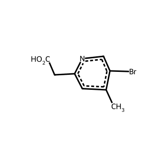 Cc1cc(CC(=O)O)ncc1Br